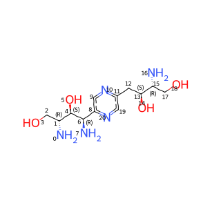 N[C@H](CO)[C@@H](O)[C@H](N)c1cnc(C[C@H](O)[C@H](N)CO)cn1